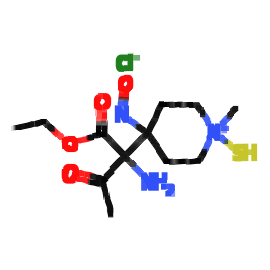 CCOC(=O)C(N)(C(C)=O)C1(N=O)CC[N+](C)(S)CC1.[Cl-]